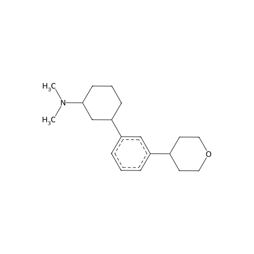 CN(C)C1CCCC(c2cccc(C3CCOCC3)c2)C1